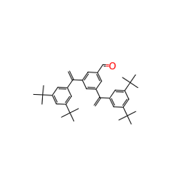 C=C(c1cc(C=O)cc(C(=C)c2cc(C(C)(C)C)cc(C(C)(C)C)c2)c1)c1cc(C(C)(C)C)cc(C(C)(C)C)c1